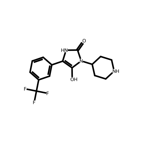 O=c1[nH]c(-c2cccc(C(F)(F)F)c2)c(O)n1C1CCNCC1